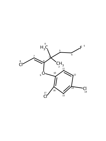 CC(C)(CCF)/C(=C/Cl)Oc1ccc(Cl)cc1Cl